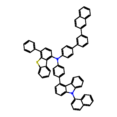 c1ccc(-c2ccc(N(c3ccc(-c4cccc(-c5ccc6ccccc6c5)c4)cc3)c3ccc(-c4cccc5c4c4ccccc4n5-c4cccc5ccccc45)cc3)c3c2sc2ccccc23)cc1